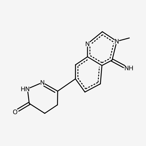 Cn1cnc2cc(C3=NNC(=O)CC3)ccc2c1=N